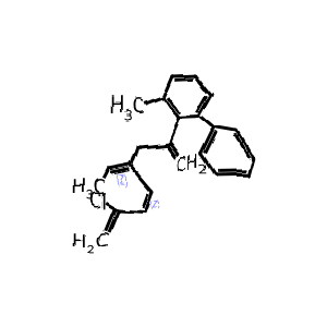 C=C(Cl)/C=C\C(=C/C)CC(=C)c1c(C)cccc1-c1ccccc1